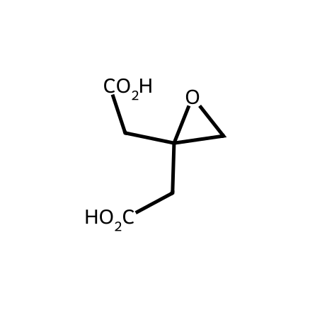 O=C(O)CC1(CC(=O)O)CO1